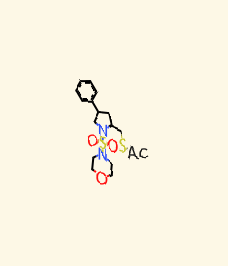 CC(=O)SCC1CC(c2ccccc2)CN1S(=O)(=O)N1CCOCC1